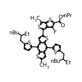 CCCCC(CC)Cc1ccc(-c2c3cc(-c4sc(C)c5sc(C(=O)OCCC)c(F)c45)sc3c(-c3ccc(CC(CC)CCCC)s3)c3cc(C)sc23)s1